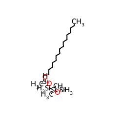 CCCCCCCCCCCCCCCCO[SiH](C)O[SiH2][Si](C)(C)O[SiH3]